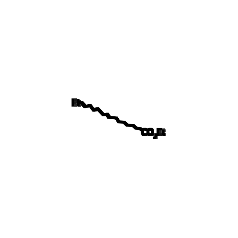 CC/C=C/C/C=C/C/C=C/CCCCCCCC(=O)OCC